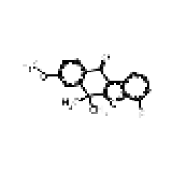 COc1ccc2c(c1)C(C)(C)c1oc3c(F)cccc3c1C2=O